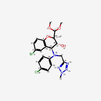 COC(OC)[C@]1(C)Oc2ccc(Br)cc2[C@H](N(Cc2nnn(C)n2)c2ccc(Cl)cc2)[C@H]1O